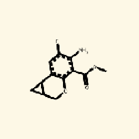 COC(=O)c1c(N)c(F)cc2c1OCC1CC21